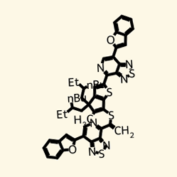 C=C(SC1=C(C)C(CC(CC)CCCC)(CC(CC)CCCC)c2cc(-c3ncc(-c4cc5ccccc5o4)c4nsnc34)sc21)c1ncc(-c2cc3ccccc3o2)c2nsnc12